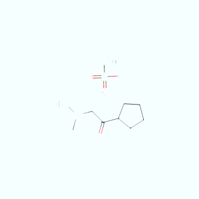 CCCCS(=O)(=O)[O-].C[S+](CC(=O)C1CCCC1)C(C)(C)C